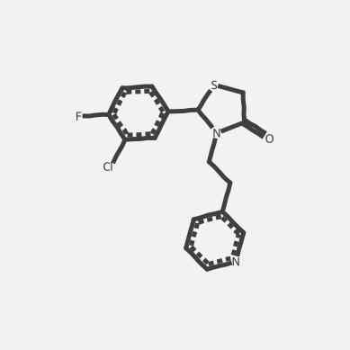 O=C1CSC(c2ccc(F)c(Cl)c2)N1CCc1cccnc1